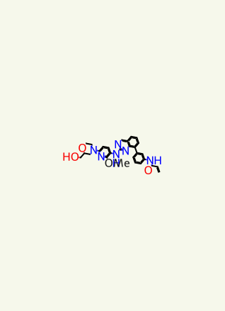 C=CC(=O)Nc1cccc(-c2cccc3cnc(Nc4ccc(N5CCOC(CO)C5)nc4OC)nc23)c1